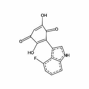 O=C1C=C(O)C(=O)C(c2c[nH]c3cccc(F)c23)=C1O